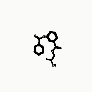 CC(C#N)COC(=S)c1ccccc1.OC(=S)c1ccccc1